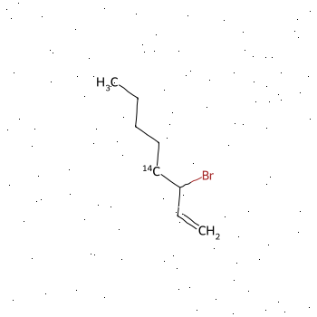 C=CC(Br)[14CH2]CCCC